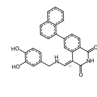 O=C1NC(=O)c2ccc(-c3cccc4ccccc34)cc2/C1=C\NCc1ccc(O)c(O)c1